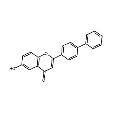 O=c1cc(-c2ccc(-c3ccncc3)cc2)oc2ccc(O)cc12